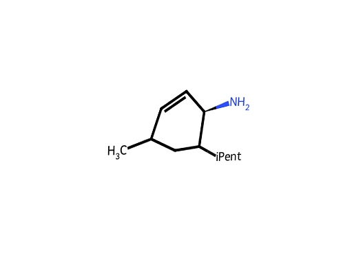 CCCC(C)C1CC(C)C=C[C@H]1N